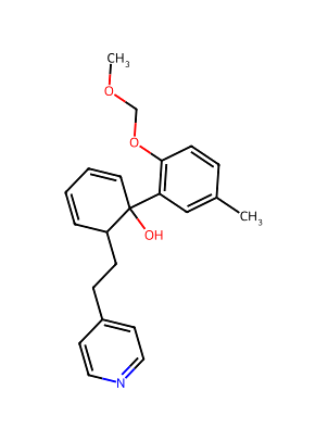 COCOc1ccc(C)cc1C1(O)C=CC=CC1CCc1ccncc1